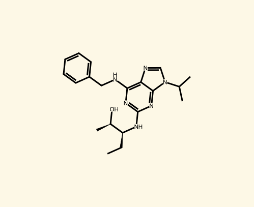 CC[C@H](Nc1nc(NCc2ccccc2)c2ncn(C(C)C)c2n1)[C@@H](C)O